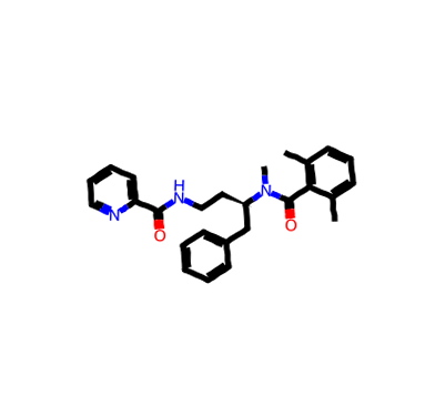 Cc1cccc(C)c1C(=O)N(C)[C@H](CCNC(=O)c1ccccn1)Cc1ccccc1